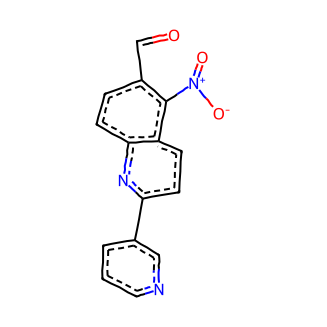 O=Cc1ccc2nc(-c3cccnc3)ccc2c1[N+](=O)[O-]